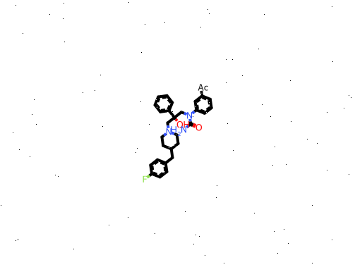 CC(=O)c1cccc(N(CC(O)(CN2CCC(Cc3ccc(F)cc3)CC2)c2ccccc2)C(N)=O)c1